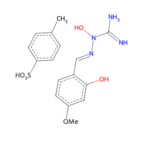 COc1ccc(/C=N/N(O)C(=N)N)c(O)c1.Cc1ccc(S(=O)(=O)O)cc1